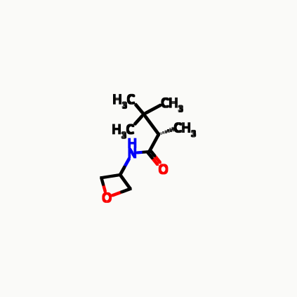 C[C@H](C(=O)NC1COC1)C(C)(C)C